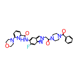 O=C(Nc1cc2cn(CC(=O)N3CCN(C(=O)c4ccccc4)CC3)nc2cc1F)c1cccc(N2CCOCC2)n1